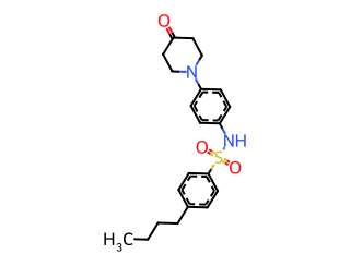 CCCCc1ccc(S(=O)(=O)Nc2ccc(N3CCC(=O)CC3)cc2)cc1